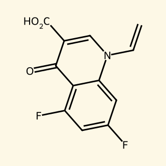 C=Cn1cc(C(=O)O)c(=O)c2c(F)cc(F)cc21